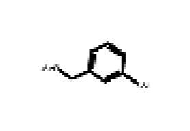 COCc1cccc(C(C)(C)C)c1